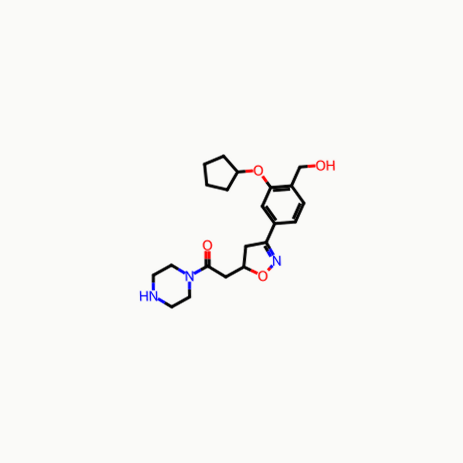 O=C(CC1CC(c2ccc(CO)c(OC3CCCC3)c2)=NO1)N1CCNCC1